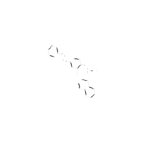 O=P(O)(Oc1ccc(N=Nc2ccccc2)cc1)Oc1cccc2ccccc12